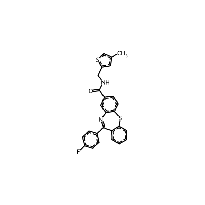 Cc1csc(CNC(=O)c2ccc3c(c2)N=C(c2ccc(F)cc2)c2ccccc2S3)c1